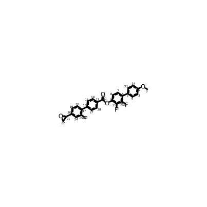 COc1ccc(-c2ccc(OC(=O)c3ccc(-c4ccc(C5CO5)cc4F)cc3)c(F)c2F)cc1